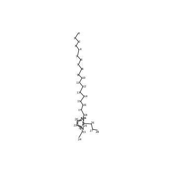 CCCCCCCCCCCCCCCCCCC[n+]1ccn(CC)c1CCC